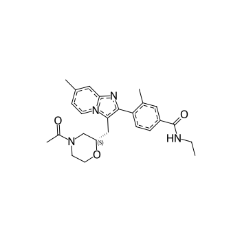 CCNC(=O)c1ccc(-c2nc3cc(C)ccn3c2C[C@H]2CN(C(C)=O)CCO2)c(C)c1